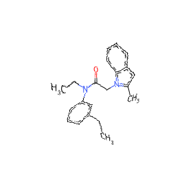 CCc1cccc(N(CC)C(=O)Cn2c(C)cc3ccccc32)c1